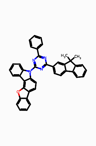 CC1(C)c2ccccc2-c2ccc(-c3nc(-c4ccccc4)nc(-n4c5ccccc5c5c6oc7ccccc7c6ccc54)n3)cc21